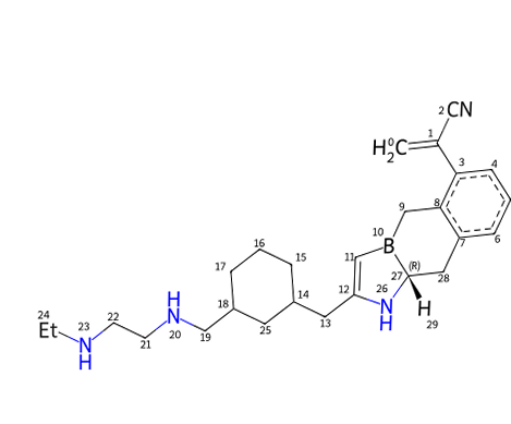 C=C(C#N)c1cccc2c1CB1C=C(CC3CCCC(CNCCNCC)C3)N[C@H]1C2